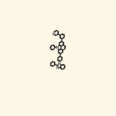 c1ccc(-c2nc3ccccc3n2-c2ccc(-c3cc4ccc5cc(-c6cccc(-c7cccnc7)c6)cc6c5c4c(c3)n6-c3ccccc3)cc2)cc1